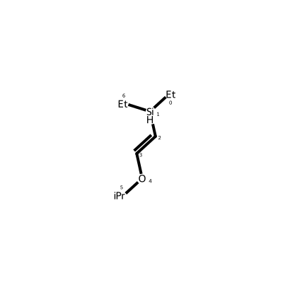 CC[SiH](C=COC(C)C)CC